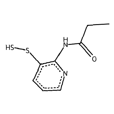 CCC(=O)Nc1ncccc1SS